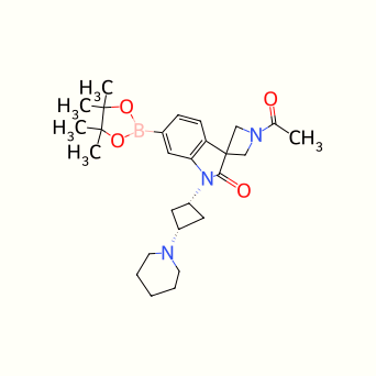 CC(=O)N1CC2(C1)C(=O)N([C@H]1C[C@@H](N3CCCCC3)C1)c1cc(B3OC(C)(C)C(C)(C)O3)ccc12